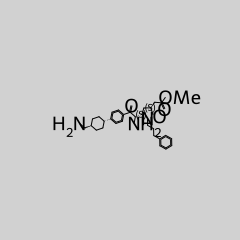 COC(=O)C[C@@H]1C[C@@H](C(N)C(=O)c2ccc([C@H]3CC[C@H](CN)CC3)cc2)N(CCCc2ccccc2)C1=O